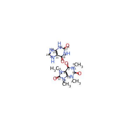 Cn1c(=O)c2c(n(C)c1=O)n(C)c(=O)n2C.O=c1[nH]c(=O)c2[nH]cnc2[nH]1